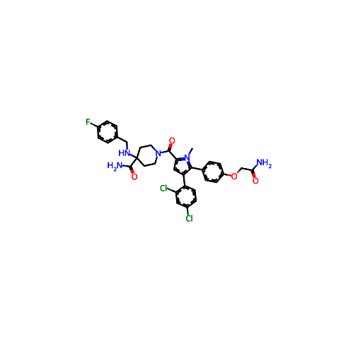 Cn1c(C(=O)N2CCC(NCc3ccc(F)cc3)(C(N)=O)CC2)cc(-c2ccc(Cl)cc2Cl)c1-c1ccc(OCC(N)=O)cc1